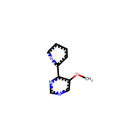 COc1cn[c]nc1-c1ccccn1